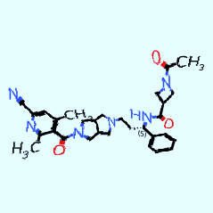 CC(=O)N1CC(C(=O)N[C@@H](CCN2CC3CN(C(=O)c4c(C)cc(C#N)nc4C)CC3C2)c2ccccc2)C1